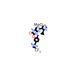 COc1ncnc(C2CC2)c1-c1ncc2c(n1)n(Cc1ccc(-c3nc(C(F)(F)F)cn3C)cc1)c(=O)c(=O)n2C